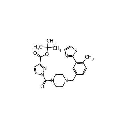 Cc1ccc(CN2CCN(C(=O)n3ccc(C(=O)OC(C)(C)C)n3)CC2)cc1-c1nccs1